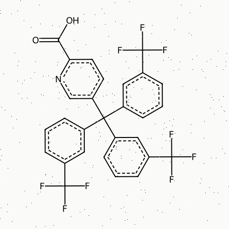 O=C(O)c1ccc(C(c2cccc(C(F)(F)F)c2)(c2cccc(C(F)(F)F)c2)c2cccc(C(F)(F)F)c2)cn1